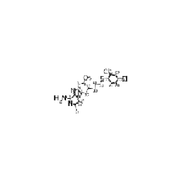 COCCc1nc2c(N)nc(C)c(C)c2n1CCCCCSc1ccc(Cl)cc1Cl